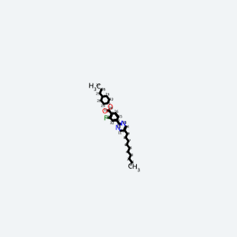 CCCCCCCCCCc1cnc(-c2ccc(C(=O)OC3CCC(CCC)CC3)c(F)c2)nc1